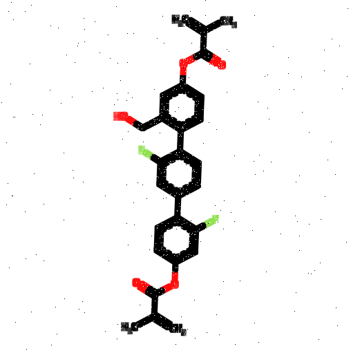 C=C(C)C(=O)Oc1ccc(-c2ccc(-c3ccc(OC(=O)C(=C)C)cc3CO)c(F)c2)c(F)c1